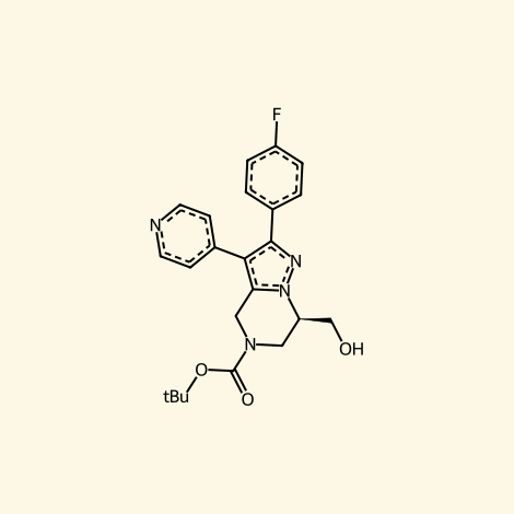 CC(C)(C)OC(=O)N1Cc2c(-c3ccncc3)c(-c3ccc(F)cc3)nn2[C@@H](CO)C1